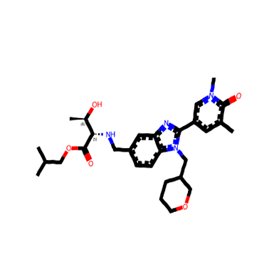 Cc1cc(-c2nc3cc(CN[C@H](C(=O)OCC(C)C)[C@@H](C)O)ccc3n2CC2CCCOC2)cn(C)c1=O